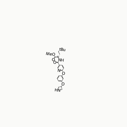 COC(=O)[C@H](CCC(C)(C)C)NC(=O)c1ccc(Oc2cccc(OC3CNC3)c2)nc1